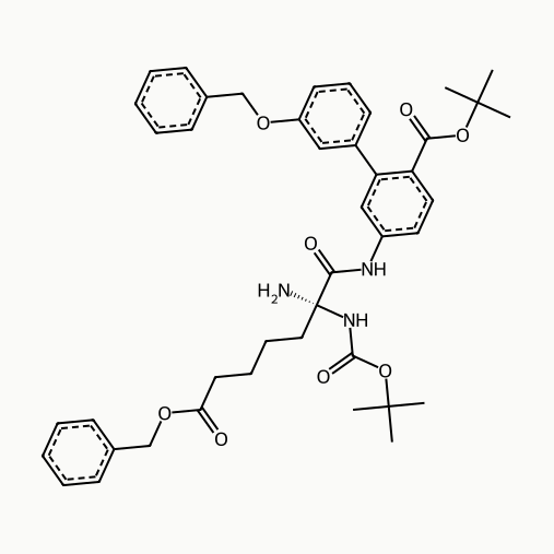 CC(C)(C)OC(=O)N[C@@](N)(CCCCC(=O)OCc1ccccc1)C(=O)Nc1ccc(C(=O)OC(C)(C)C)c(-c2cccc(OCc3ccccc3)c2)c1